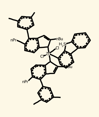 CCCCC1=Cc2c(ccc(CCC)c2-c2cc(C)cc(C)c2)[CH]1[Zr]([Cl])([Cl])([c]1cccc2c1[SiH2]c1ccccc1-2)[CH]1C(CCCC)=Cc2c1ccc(CCC)c2-c1cc(C)cc(C)c1